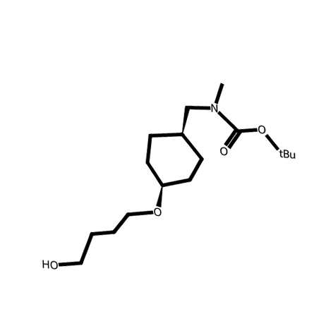 CN(C[C@H]1CC[C@@H](OCCCCO)CC1)C(=O)OC(C)(C)C